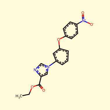 CCOC(=O)c1cn(-c2cccc(Oc3ccc([N+](=O)[O-])cc3)c2)cn1